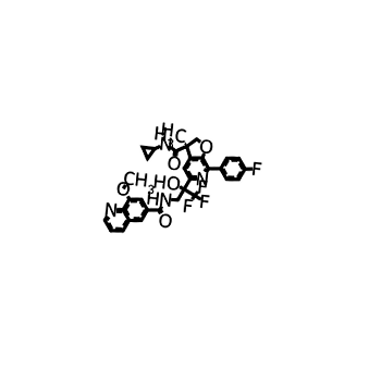 COc1cc(C(=O)NCC(O)(c2cc3c(c(-c4ccc(F)cc4)n2)OC[C@]3(C)C(=O)NC2CC2)C(F)(F)F)cc2cccnc12